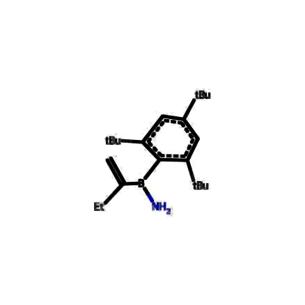 C=C(CC)B(N)c1c(C(C)(C)C)cc(C(C)(C)C)cc1C(C)(C)C